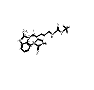 C[C@H](CCCCNC(=O)OC(C)(C)C)n1c(N)nc2cccc(N3CCN(C)C3=O)c21